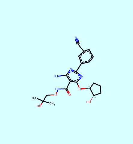 CC(C)(O)CONC(=O)c1c(N)nc(-c2cccc(C#N)c2)nc1O[C@H]1CCC[C@@H]1O